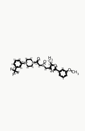 COc1cccc(-c2nc(C[S+]([O-])CC(=O)N3CCN(c4cccc(C(F)(F)F)c4)CC3)c(C)o2)c1